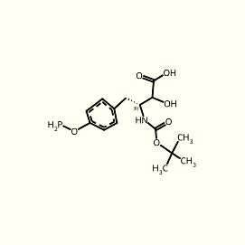 CC(C)(C)OC(=O)N[C@H](Cc1ccc(OP)cc1)C(O)C(=O)O